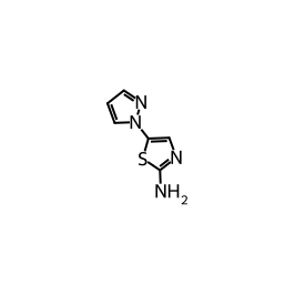 Nc1ncc(-n2cccn2)s1